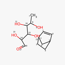 C1=CC2CCC1C2.CC(O)C(O)C(O)C(O)C=O